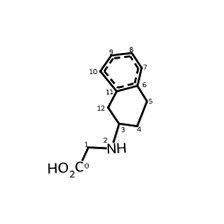 O=C(O)CNC1CCc2ccccc2C1